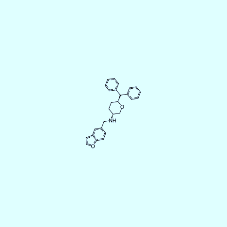 c1ccc(C(c2ccccc2)[C@@H]2CC[C@H](NCc3ccc4occc4c3)CO2)cc1